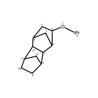 CC(C)OC1CC2CC1C1C3CCC(C3)C21